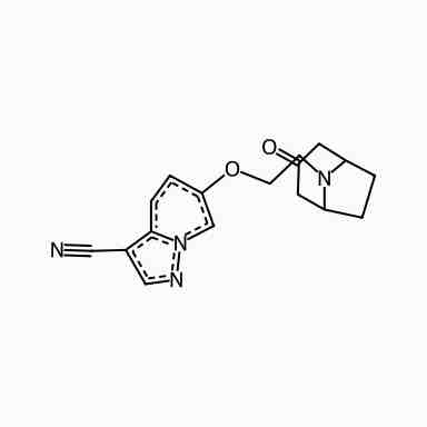 N#Cc1cnn2cc(OCCN3C4CCC3CC(=O)C4)ccc12